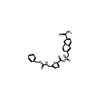 N=C(N)c1ccc2cc(CS(=O)(=O)OC(=O)c3ccc(CNC(=O)OCc4ccccc4)s3)ccc2c1